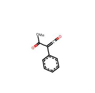 COC(=O)C(=C=O)c1ccccc1